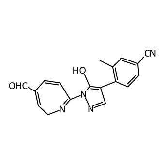 Cc1cc(C#N)ccc1-c1cnn(C2=NCC=C(C=O)C=C2)c1O